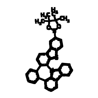 CC1(C)OB(c2ccc3sc4c5c(ccc4c3c2)-c2ccccc2-c2cccc3c4ccccc4n-5c23)OC1(C)C